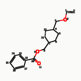 C=COCC1CCC(COC(=O)c2ccccc2)CC1